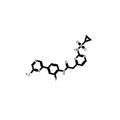 O=C(Cc1ccnc(NS(=O)(=O)C2CC2)n1)Nc1ccc(-c2cncc(C(F)(F)F)n2)cc1F